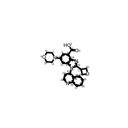 O=C(O)c1cc(N2CCOCC2)cc2c1nc(C1COC1)n2-c1ccnc2ccccc12